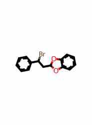 BrC(CC1Oc2ccccc2O1)c1ccccc1